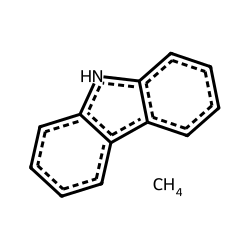 C.c1ccc2c(c1)[nH]c1ccccc12